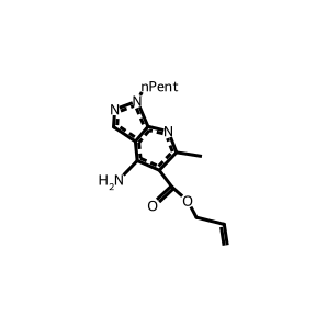 C=CCOC(=O)c1c(C)nc2c(cnn2CCCCC)c1N